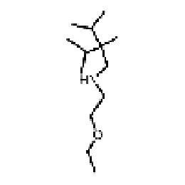 CCOCCNCC(C)(C(C)C)C(C)C